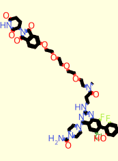 CN(CCOCCOCCOCCOc1ccc2c(c1)C(=O)N(C1CCC(=O)NC1=O)C2=O)C(=O)CCNc1nc(N2CCN(C(N)=O)CC2)c2cc(Cl)c(-c3c(O)cccc3F)c(F)c2n1